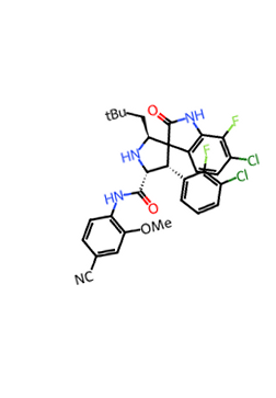 COc1cc(C#N)ccc1NC(=O)[C@@H]1N[C@@H](CC(C)(C)C)C2(C(=O)Nc3c2ccc(Cl)c3F)[C@@H]1c1cccc(Cl)c1F